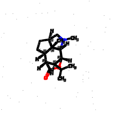 CC(C)[C@@H]1[C@H]2OC(=O)[C@@H]1[C@@H]1CC[C@@H]3CN(C)[C@H]2[C@@]31C